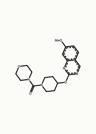 COc1ccc2cnc(OC3CCN(C(=O)N4CCOCC4)CC3)nc2c1